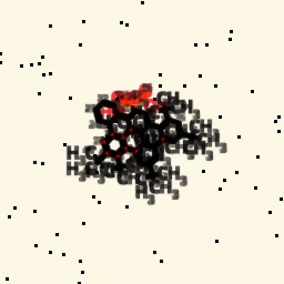 CC(C)(C)c1ccc(C2=CC(P(=O)(O)O)(P(=O)(O)O)C(=C3C=CC=CC3c3ccc(C(C)(C)C)cc3C(C)(C)C)C(c3ccc(C(C)(C)C)cc3C(C)(C)C)=C2c2ccc(C(C)(C)C)cc2C(C)(C)C)c(C(C)(C)C)c1